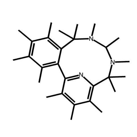 Cc1c2nc(c(C)c1C)C(C)(C)N(C)C(C)N(C)C(C)(C)c1c(C)c(C)c(C)c(C)c1-2